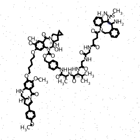 COc1ccc(C2=CN3C(=O)c4cc(OC)c(OCCCCCOc5cc6c(cc5OC)C(=O)N5CC7(CC7)C[C@H]5[C@H](O)N6C(=O)OCc5ccc(NC(=O)[C@H](C)NC(=O)[C@@H](NC(=O)CNC(=O)CNC(=O)CCC(=O)N6Cc7ccccc7/C(N)=C(/N(N)SC)c7ccccc76)C(C)C)cc5)cc4NC[C@@H]3C2)cc1